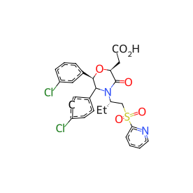 CC[C@@H](CS(=O)(=O)c1ccccn1)N1C(=O)[C@H](CC(=O)O)O[C@H](c2cccc(Cl)c2)C1c1ccc(Cl)cc1